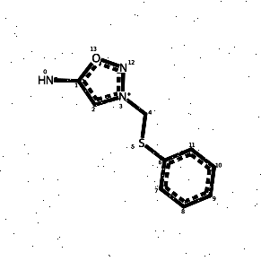 [NH-]c1c[n+](CSc2ccccc2)no1